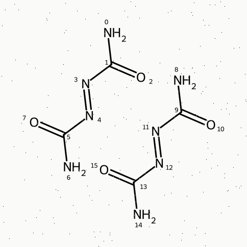 NC(=O)N=NC(N)=O.NC(=O)N=NC(N)=O